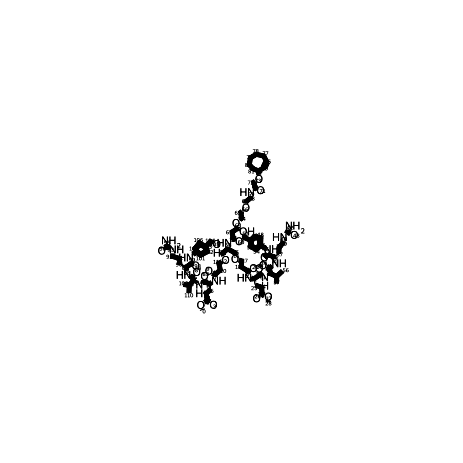 COC(=O)CC[C@H](NC(=O)CCOCC(COCCC(=O)N[C@@H](CCC(=O)OC)C(=O)N[C@H](C(=O)N[C@@H](CCCNC(N)=O)C(=O)Nc1ccc(CO)cc1)C(C)C)NC(=O)CCOCCOCCNC(=O)COC1C#CCCCCC1)C(=O)N[C@H](C(=O)N[C@@H](CCCNC(N)=O)C(=O)Nc1ccc(CO)cc1)C(C)C